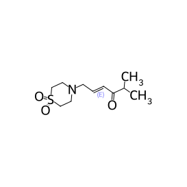 CC(C)C(=O)/C=C/CN1CCS(=O)(=O)CC1